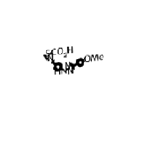 COc1ccc(-c2cnc(Nc3ccc(CCN4CCSC4C(=O)O)cc3)nc2)cc1